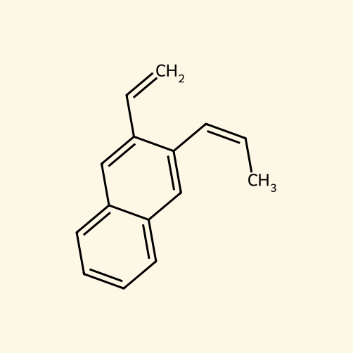 C=Cc1cc2ccccc2cc1/C=C\C